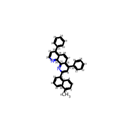 Cc1cccc2c(-c3cc(-c4ccccc4)c4ccc5c(-c6ccccc6)ccnc5c4n3)cccc12